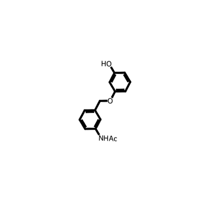 CC(=O)Nc1cccc(COc2cccc(O)c2)c1